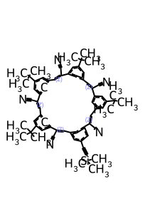 CC(C)(C)c1cc2cc(c1)/C(C#N)=C/c1cc(cc(C(C)(C)C)c1)/C(C#N)=C/c1cc(cc(C(C)(C)C)c1)/C(C#N)=C/c1cc(cc(C(C)(C)C)c1)/C(C#N)=C/c1cc(C#C[Si](C)(C)C)cc(c1)/C(C#N)=C/2